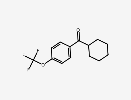 O=C(c1ccc(OC(F)(F)F)cc1)C1[CH]CCCC1